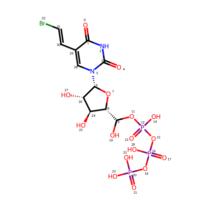 O=c1[nH]c(=O)n([C@@H]2O[C@H](C(O)OP(=O)(O)OP(=O)(O)OP(=O)(O)O)[C@@H](O)[C@@H]2O)cc1/C=C/Br